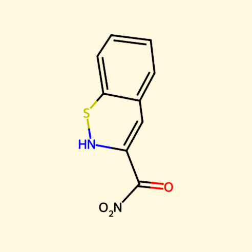 O=C(C1=Cc2ccccc2SN1)[N+](=O)[O-]